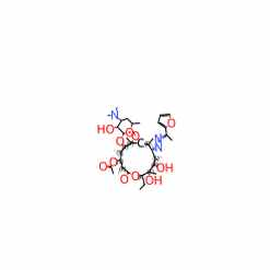 CC[C@H]1OC(=O)[C@H](C)[C@@H](OC(C)=O)[C@H](C)[C@@H](OC2OC(C)CC(N(C)C)C2O)[C@](C)(OC)C[C@@H](C)/C(=N\N=C(/C)c2ccco2)[C@H](C)[C@@H](O)[C@]1(C)O